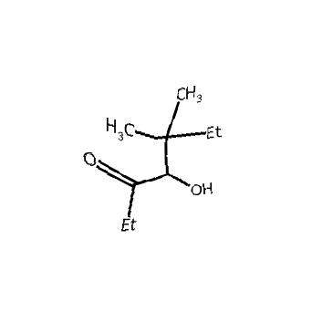 CCC(=O)C(O)C(C)(C)CC